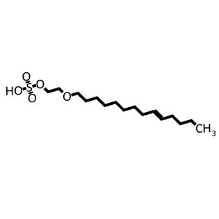 CCCC/C=C/CCCCCCCCOCCOS(=O)(=O)O